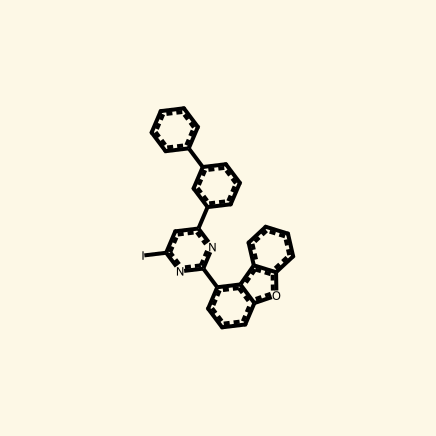 Ic1cc(-c2cccc(-c3ccccc3)c2)nc(-c2cccc3oc4ccccc4c23)n1